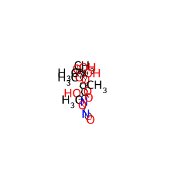 CO[C@@H]1[C@H](O)[C@@H](O)[C@H](Oc2ccc3c(O)c(C(C)=NOCCN4CCOCC4)c(=O)oc3c2C)OC1(C)C